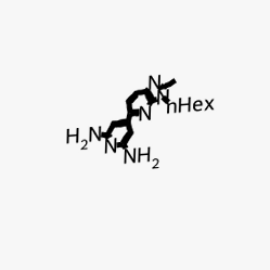 CCCCCCn1c(C)nc2ccc(-c3cc(N)nc(N)c3)nc21